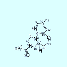 CCCC(=O)N1CCN2c3ncc(C)cc3OCC[C@H]2C1